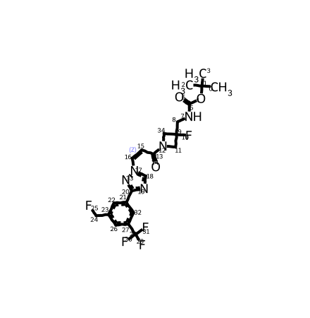 CC(C)(C)OC(=O)NCC1(F)CN(C(=O)/C=C\n2cnc(-c3cc(CF)cc(C(F)(F)F)c3)n2)C1